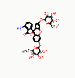 Nc1cccc2c1C(=O)OC21c2ccc(OC3O[C@H](C(=O)O)[C@@H](O)[C@H](O)[C@H]3O)cc2Oc2cc(OC3O[C@H](C(=O)O)[C@@H](O)[C@H](O)[C@H]3O)ccc21